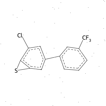 FC(F)(F)c1cccc(-c2cc(Cl)c3c(c2)S3)c1